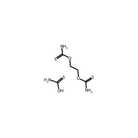 NC(=S)OCCOC(N)=S.NC(O)=S